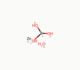 O.OB(O)O.[Zn]